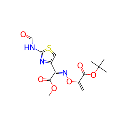 C=C(ON=C(C(=O)OC)c1csc(NC=O)n1)C(=O)OC(C)(C)C